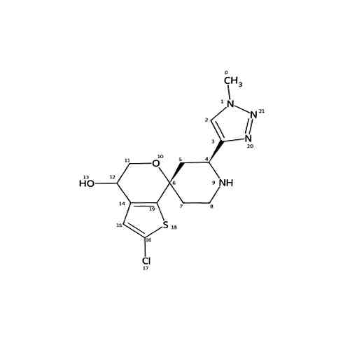 Cn1cc([C@@H]2C[C@]3(CCN2)OCC(O)c2cc(Cl)sc23)nn1